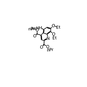 CCCOC(=O)c1cc(C(=O)OCCC)c2c(NC(C)=O)cc(OCC)c(OCC)c2n1